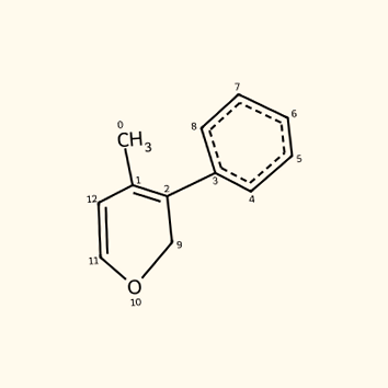 CC1=C(c2ccccc2)COC=C1